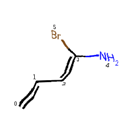 C=CC=C(N)Br